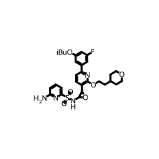 CC(C)COc1cc(F)cc(-c2ccc(C3OC3NS(=O)(=O)c3cccc(N)n3)c(OCCC3CCOCC3)n2)c1